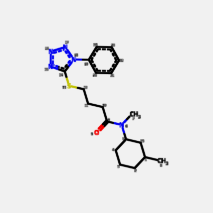 CC1CCCC(N(C)C(=O)CCCSc2nnnn2-c2ccccc2)C1